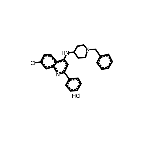 Cl.Clc1ccc2c(NC3CCN(Cc4ccccc4)CC3)cc(-c3ccccc3)nc2c1